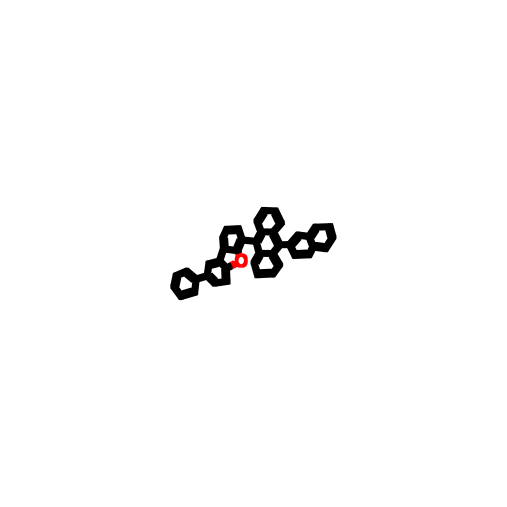 c1ccc(-c2ccc3oc4c(-c5c6ccccc6c(-c6ccc7ccccc7c6)c6ccccc56)cccc4c3c2)cc1